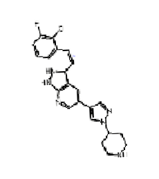 Fc1cccc(/C=C\C2NNc3ncc(-c4cnn(C5CCNCC5)c4)cc32)c1Cl